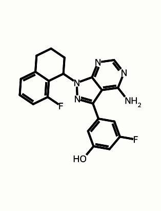 Nc1ncnc2c1c(-c1cc(O)cc(F)c1)nn2C1CCCc2cccc(F)c21